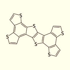 c1cc2c(s1)c1ccsc1c1sc3c(sc4c5sccc5c5sccc5c43)c21